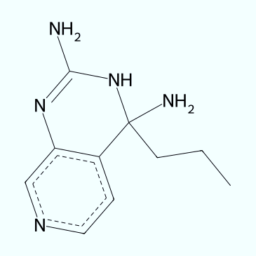 CCCC1(N)NC(N)=Nc2cnccc21